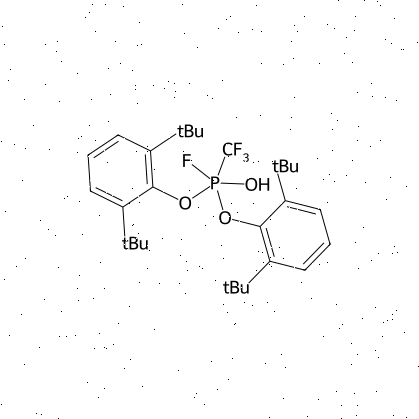 CC(C)(C)c1cccc(C(C)(C)C)c1OP(O)(F)(Oc1c(C(C)(C)C)cccc1C(C)(C)C)C(F)(F)F